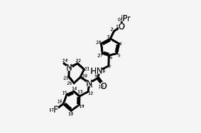 CC(C)OCc1ccc(CNC(=O)N(Cc2ccc(F)cc2)C2CCN(C)CC2)cc1